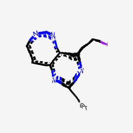 CC(C)c1nc(CI)c2nnccc2n1